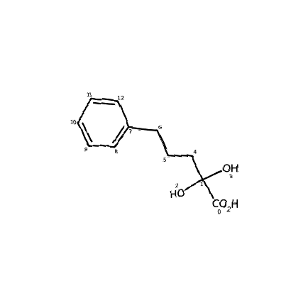 O=C(O)C(O)(O)CCCc1ccccc1